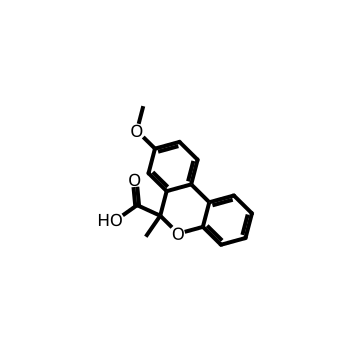 COc1ccc2c(c1)C(C)(C(=O)O)Oc1ccccc1-2